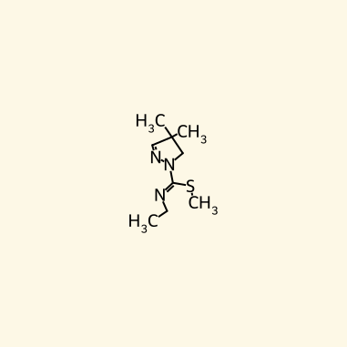 CCN=C(SC)N1CC(C)(C)C=N1